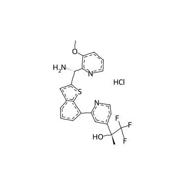 COc1cccnc1[C@@H](N)c1cc2cccc(-c3cc([C@@](C)(O)C(F)(F)F)ccn3)c2s1.Cl